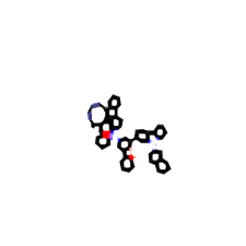 C=C1/C=C\C=C/CC2(c3ccccc31)c1ccccc1-c1ccc(N(c3ccccc3)c3cc(-c4ccc5c6ccccc6n(-c6ccc7ccccc7c6)c5c4)c4oc5ccccc5c4c3)cc12